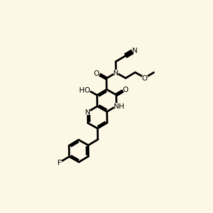 COCCN(CC#N)C(=O)c1c(O)c2ncc(Cc3ccc(F)cc3)cc2[nH]c1=O